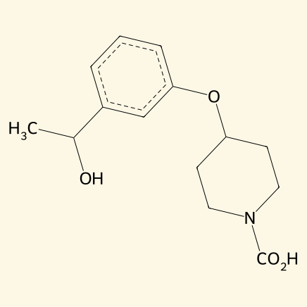 CC(O)c1cccc(OC2CCN(C(=O)O)CC2)c1